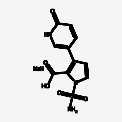 NS(=O)(=O)n1ccc(-c2ccc(=O)[nH]c2)c1C(=O)O.[NaH]